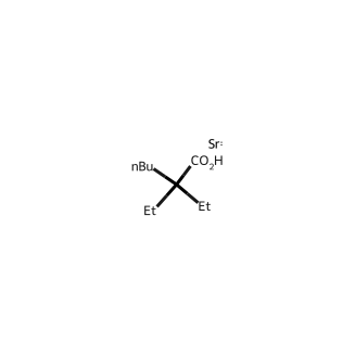 CCCCC(CC)(CC)C(=O)O.[Sr]